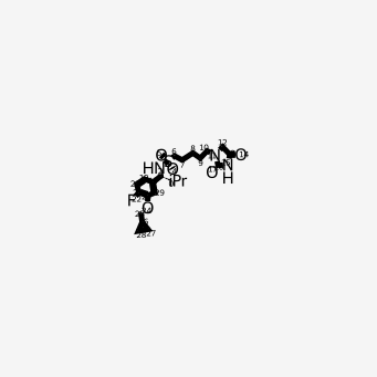 CC(C)[C@@H](NS(=O)(=O)CCCCCN1CC(=O)NC1=O)c1ccc(F)c(OCC2CC2)c1